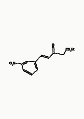 CCOC(=O)CC(=O)C=Cc1cccc([N+](=O)[O-])c1